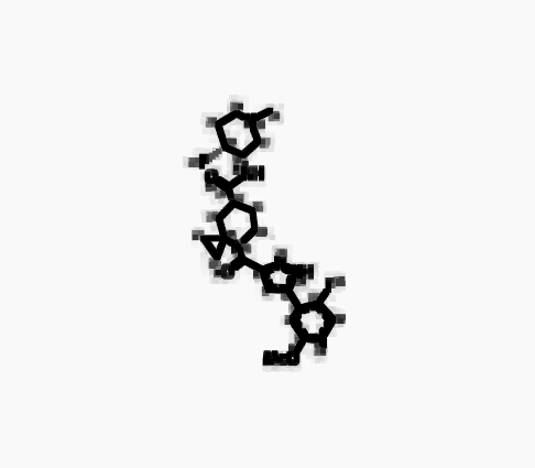 COc1cc(-c2cc(C(=O)N3CC[C@H](C(=O)N[C@H]4CN(C)CC[C@H]4F)CC34CC4)n[nH]2)c(F)cn1